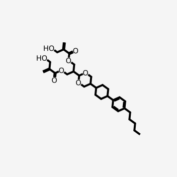 C=C(CO)C(=O)OCC(COC(=O)C(=C)CO)C1OCC(C2CCC(c3ccc(CCCCC)cc3)CC2)CO1